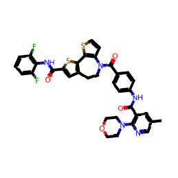 Cc1cnc(N2CCOCC2)c(C(=O)Nc2ccc(C(=O)N3CCc4cc(C(=O)Nc5c(F)cccc5F)sc4-c4sccc43)cc2)c1